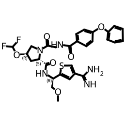 COC[C@@H](NC(=O)[C@@H]1C[C@@H](OC(F)F)CN1C(=O)CNC(=O)c1ccc(Oc2ccccc2)cc1)c1cc(C(=N)N)cs1